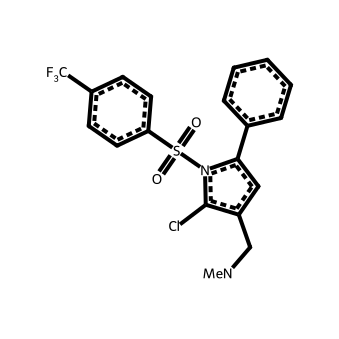 CNCc1cc(-c2ccccc2)n(S(=O)(=O)c2ccc(C(F)(F)F)cc2)c1Cl